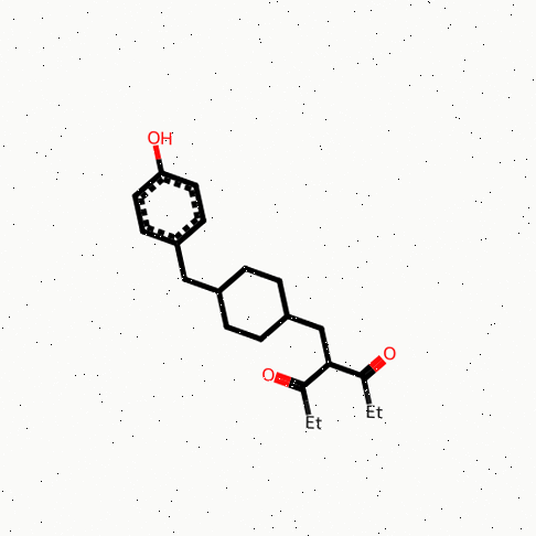 CCC(=O)C(CC1CCC(Cc2ccc(O)cc2)CC1)C(=O)CC